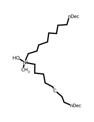 CCCCCCCCCCCCCCCCCC[N+](C)(O)CCCCCCCCCCCCCCCCCC